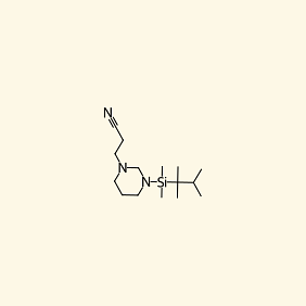 CC(C)C(C)(C)[Si](C)(C)N1CCCN(CCC#N)C1